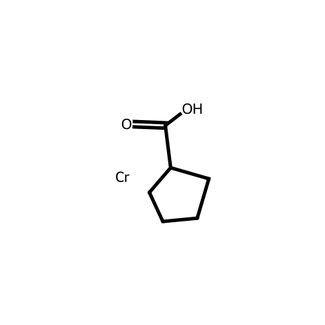 O=C(O)C1CCCC1.[Cr]